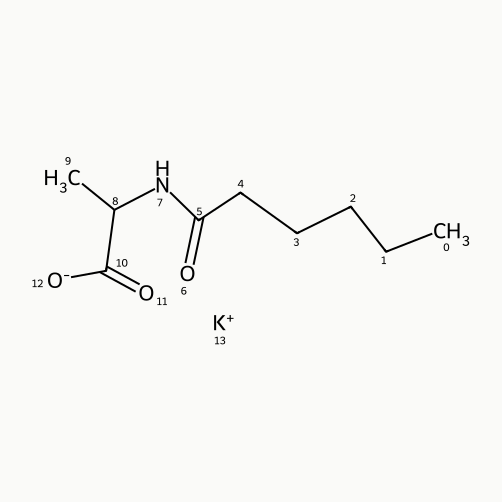 CCCCCC(=O)NC(C)C(=O)[O-].[K+]